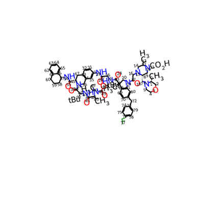 C[C@@H]1COCCN1C[C@H]1CN(C(=O)O)[C@H](C)CN1CC(=O)N1CC(C)(C(=O)NCC(=O)Nc2ccc3c(c2)CN(C(=O)[C@@H](NC(=O)[C@H](C)N(C)C(=O)OC(C)(C)C)C(C)(C)C)[C@H](C(=O)N[C@@H]2CCCc4ccccc42)C3)c2ccc(Cc3ccc(F)cc3)cc21